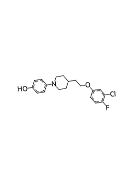 Oc1ccc(N2CCC(CCOc3ccc(F)c(Cl)c3)CC2)cc1